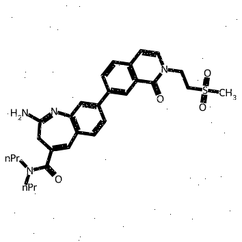 CCCN(CCC)C(=O)C1=Cc2ccc(-c3ccc4ccn(CCS(C)(=O)=O)c(=O)c4c3)cc2N=C(N)C1